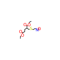 CCOC(=O)CCC(CSCCN=O)C(=O)OCC